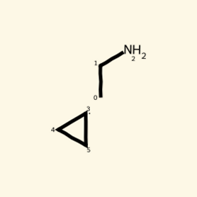 CCN.[CH]1CC1